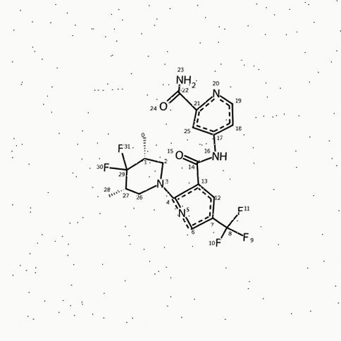 C[C@@H]1CN(c2ncc(C(F)(F)F)cc2C(=O)Nc2ccnc(C(N)=O)c2)C[C@H](C)C1(F)F